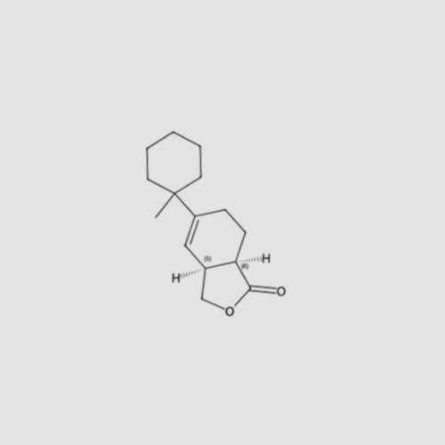 CC1(C2=C[C@@H]3COC(=O)[C@@H]3CC2)CCCCC1